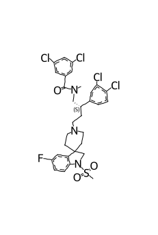 CN(C[C@@H](CCN1CCC2(CC1)CN(S(C)(=O)=O)c1ccc(F)cc12)c1ccc(Cl)c(Cl)c1)C(=O)c1cc(Cl)cc(Cl)c1